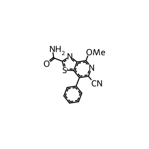 COc1nc(C#N)c(-c2ccccc2)c2sc(C(N)=O)nc12